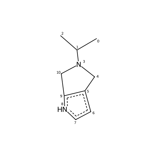 CC(C)N1Cc2cc[nH]c2C1